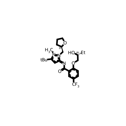 CC[C@@H](O)COc1ccc(C(F)(F)F)cc1C(=O)N=c1cc(C(C)(C)C)n(C)n1C[C@H]1CCCO1